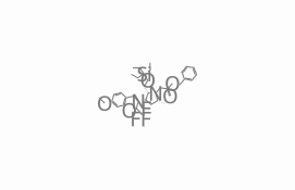 CC[Si](CC)(CC)OC[C@H]1[C@@H](N(Cc2ccc(OC)cc2)C(=O)C(F)(F)F)C[C@@H](C)N1CC(=O)OCc1ccccc1